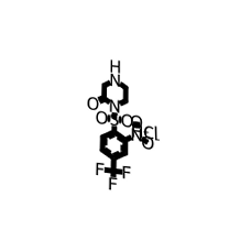 Cl.O=C1CNCCN1S(=O)(=O)c1ccc(C(F)(F)F)cc1[N+](=O)[O-]